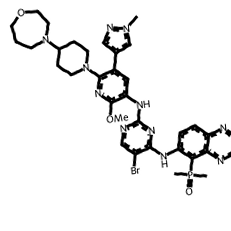 COc1nc(N2CCC(N3CCCOCC3)CC2)c(-c2cnn(C)c2)cc1Nc1ncc(Br)c(Nc2ccc3nccnc3c2P(C)(C)=O)n1